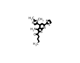 CCCCC(=O)c1sc2nc(-c3nccs3)cc(-c3cnc(C)n3C)c2c1N